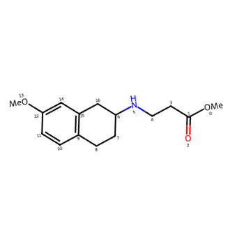 COC(=O)CCNC1CCc2ccc(OC)cc2C1